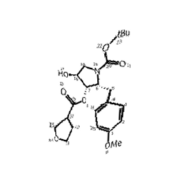 COc1ccc(C[C@@H]2[C@H](OC(=O)C3CCOC3)[C@@H](O)CN2C(=O)OC(C)(C)C)cc1